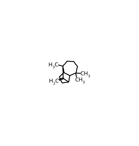 C=C1C2CCC3C2C(C)(C)CCCC13C